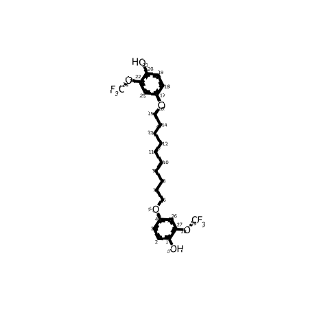 Oc1ccc(OCCCCCCCCCCOc2ccc(O)c(OC(F)(F)F)c2)cc1OC(F)(F)F